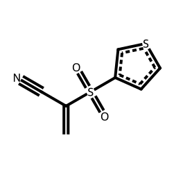 C=C(C#N)S(=O)(=O)c1ccsc1